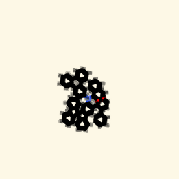 c1ccc(-c2ccccc2-c2cc3c(cc2N(c2ccc4c5ccccc5c5ccccc5c4c2)c2cccc4ccccc24)C2(c4ccccc4-c4ccccc42)c2ccccc2-3)cc1